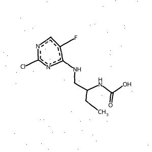 CCC(CNc1nc(Cl)ncc1F)NC(=O)O